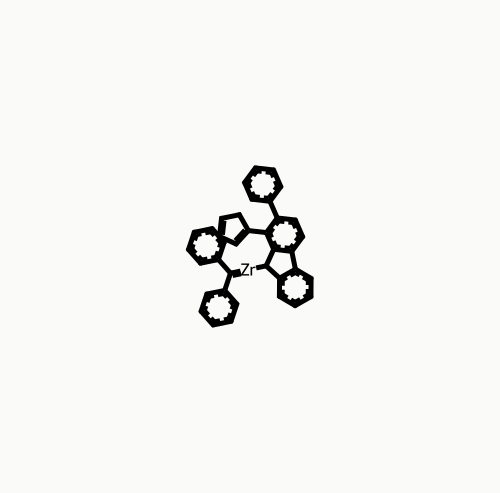 C1=CCC(c2c(-c3ccccc3)ccc3c2[CH]([Zr]=[C](c2ccccc2)c2ccccc2)c2ccccc2-3)=C1